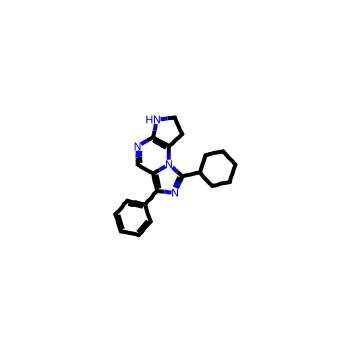 c1ccc(-c2nc(C3CCCCC3)n3c4c(ncc23)NCC4)cc1